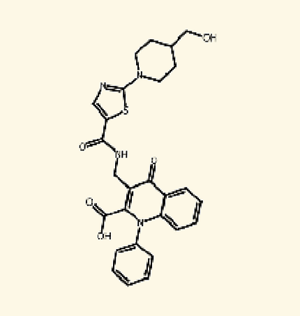 O=C(NCc1c(C(=O)O)n(-c2ccccc2)c2ccccc2c1=O)c1cnc(N2CCC(CO)CC2)s1